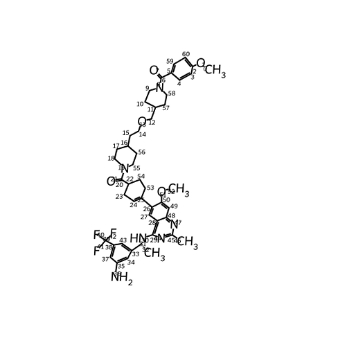 COc1ccc(C(=O)N2CCC(COCCC3CCN(C(=O)C4CC=C(c5cc6c(N[C@H](C)c7cc(N)cc(C(F)(F)F)c7)nc(C)nc6cc5OC)CC4)CC3)CC2)cc1